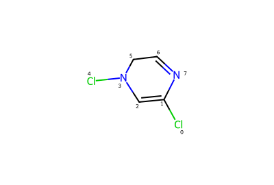 ClC1=CN(Cl)CC=N1